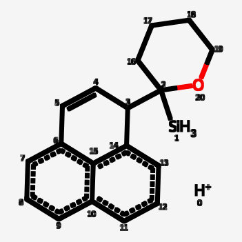 [H+].[SiH3]C1(C2C=Cc3cccc4cccc2c34)CCCCO1